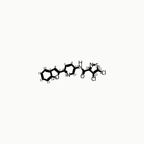 O=C(Nc1ccc(-c2cc3ccccc3o2)nc1)c1nsc(Cl)c1Cl